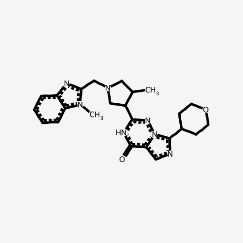 CC1CN(Cc2nc3ccccc3n2C)CC1c1nn2c(C3CCOCC3)ncc2c(=O)[nH]1